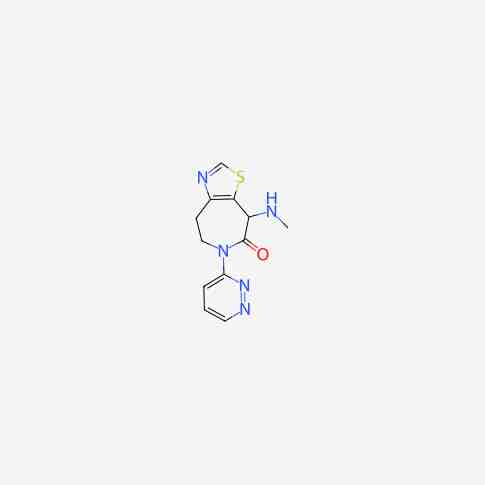 CNC1C(=O)N(c2cccnn2)CCc2ncsc21